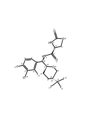 O=C1N[C@H](C(=O)N[C@H](c2ccc(F)c(Cl)c2F)[C@@H]2CC[C@@H](C(F)(F)F)CO2)CO1